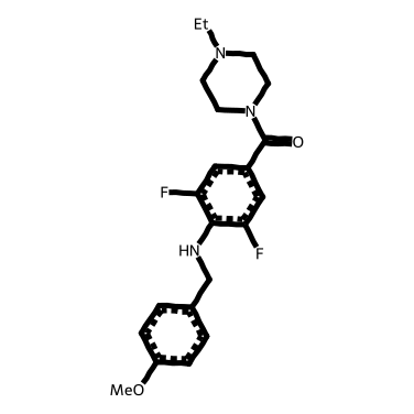 CCN1CCN(C(=O)c2cc(F)c(NCc3ccc(OC)cc3)c(F)c2)CC1